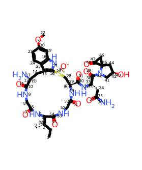 CC[C@H](C)C1NC(=O)CNC(=O)[C@@H](N)Cc2c([nH]c3cc(OC)ccc23)[S+]([O-])C[C@@H](C(=O)N[C@@H](CC(N)=O)C(=O)N2C[C@H](O)CC23CC3=O)NC(=O)CNC1=O